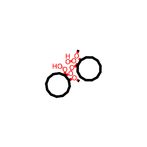 COC1CCCCCCCCCCC1(OO)OOC1(OO)CCCCCCCCCCC1OC